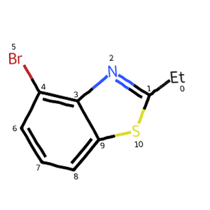 CCc1nc2c(Br)cccc2s1